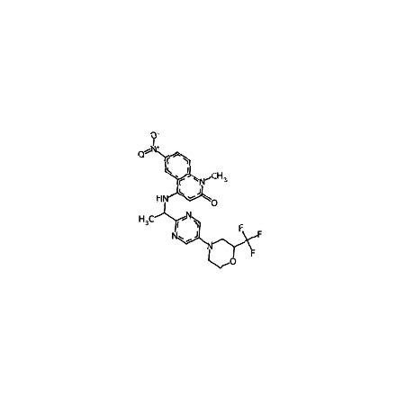 CC(Nc1cc(=O)n(C)c2ccc([N+](=O)[O-])cc12)c1ncc(N2CCOC(C(F)(F)F)C2)cn1